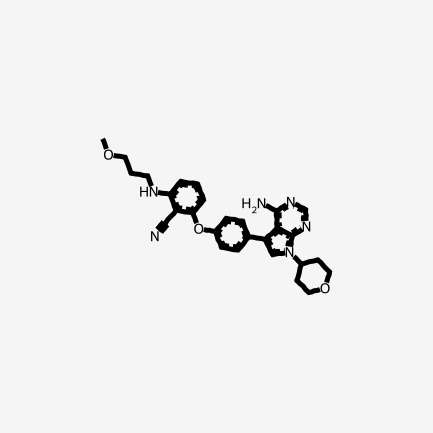 COCCCNc1cccc(Oc2ccc(-c3cn(C4CCOCC4)c4ncnc(N)c34)cc2)c1C#N